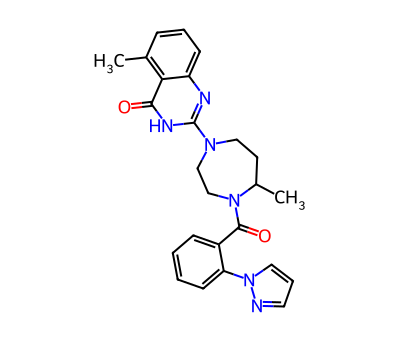 Cc1cccc2nc(N3CCC(C)N(C(=O)c4ccccc4-n4cccn4)CC3)[nH]c(=O)c12